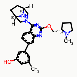 CN1CCC[C@H]1COc1nc(N2C[C@H]3CC[C@@H](C2)N3)c2ccc(-c3cc(O)cc(C(F)(F)F)c3)cc2n1